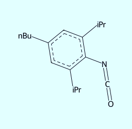 CCCCc1cc(C(C)C)c(N=C=O)c(C(C)C)c1